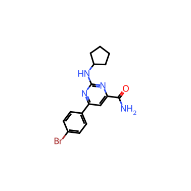 NC(=O)c1cc(-c2ccc(Br)cc2)nc(NC2CCCC2)n1